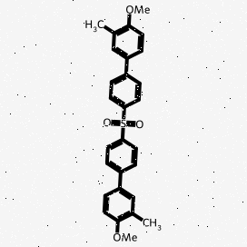 COc1ccc(-c2ccc(S(=O)(=O)c3ccc(-c4ccc(OC)c(C)c4)cc3)cc2)cc1C